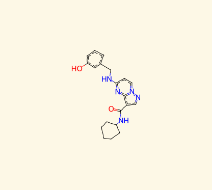 O=C(NC1CCCCC1)c1cnn2ccc(NCc3cccc(O)c3)nc12